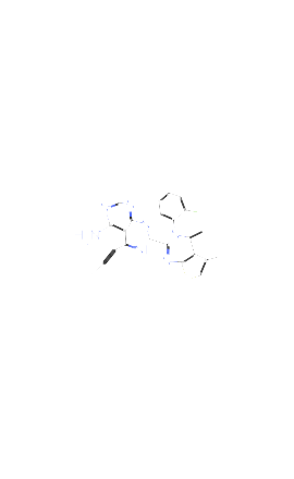 C=C1c2c(C)csc2N=C(CNc2ncnc(N)c2C(=N)C#CC)N1c1ccccc1F